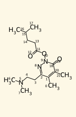 Cc1c(CCN(C)C)nn(OC(=O)CCC(C)C)c(=O)c1C